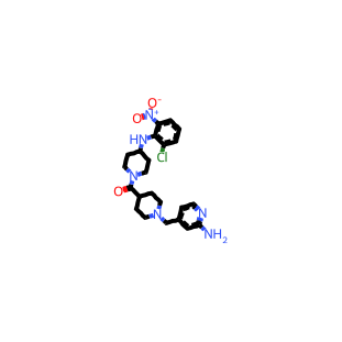 Nc1cc(CN2CCC(C(=O)N3CCC(Nc4c(Cl)cccc4[N+](=O)[O-])CC3)CC2)ccn1